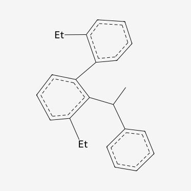 CCc1ccccc1-c1cccc(CC)c1C(C)c1ccccc1